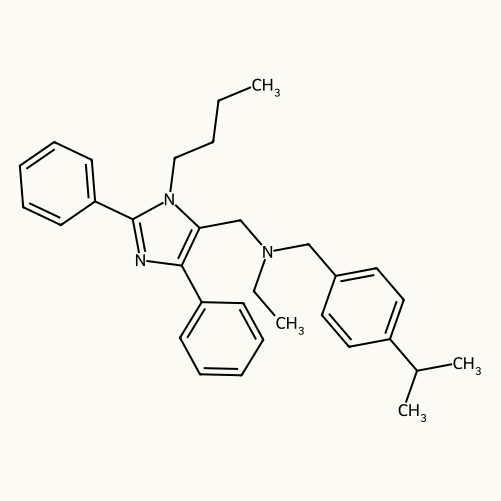 CCCCn1c(-c2ccccc2)nc(-c2ccccc2)c1CN(CC)Cc1ccc(C(C)C)cc1